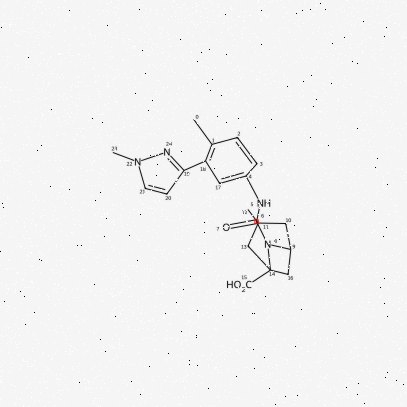 Cc1ccc(NC(=O)N2C3CC(C)CC2(C(=O)O)C3)cc1-c1ccn(C)n1